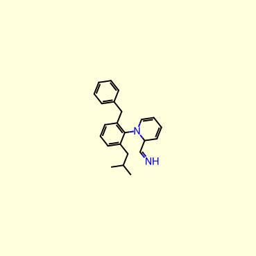 CC(C)Cc1cccc(Cc2ccccc2)c1N1C=CC=CC1C=N